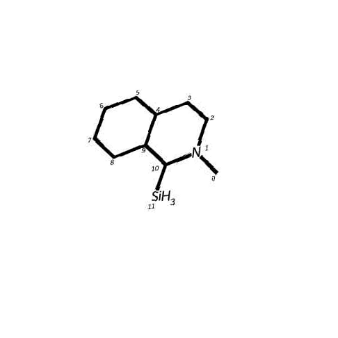 CN1CCC2CCCCC2C1[SiH3]